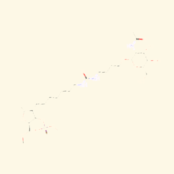 B[C@@H]1O[C@H](COC)C(OP(O)(=S)OC)[C@@H]1CCCCCCCNC(=O)NCCCCO[C@@H]1O[C@H](CO)[C@H](O)[C@H](O)[C@H]1NC(C)=O